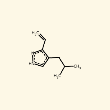 C=Cc1n[nH]cc1CC(C)C